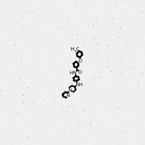 Cc1ccc(Oc2cccc(C(=O)Nc3ccc(NC4CCN(c5ccccn5)CC4)cc3)c2)cc1